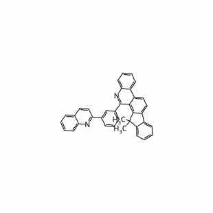 CC1(C)c2ccccc2-c2ccc3c(c(-c4cccc(-c5ccc6ccccc6n5)c4)nc4ccccc43)c21